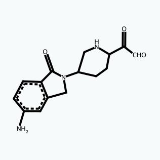 Nc1ccc2c(c1)CN(C1CCC(C(=O)C=O)NC1)C2=O